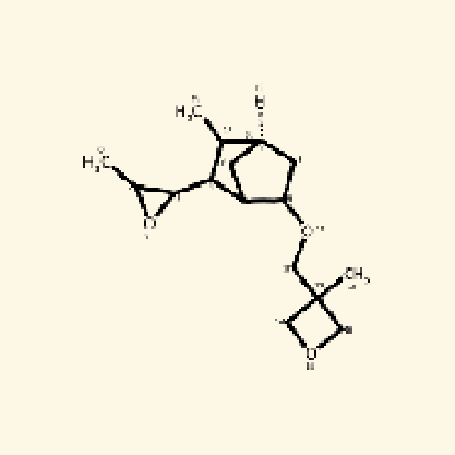 CC1OC1C1C2C[C@H](CC2OCC2(C)COC2)C1C